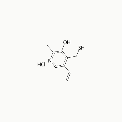 C=Cc1cnc(C)c(O)c1CS.Cl